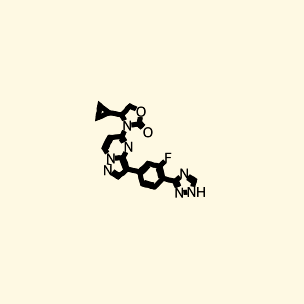 O=C1OCC(C2CC2)N1c1ccn2ncc(-c3ccc(-c4nc[nH]n4)c(F)c3)c2n1